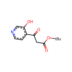 CC(C)(C)OC(=O)CC(=O)c1ccncc1O